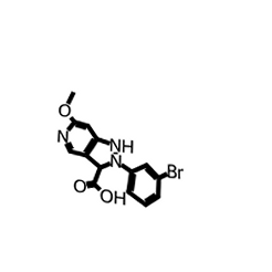 COc1cc2c(cn1)C(C(=O)O)N(c1cccc(Br)c1)N2